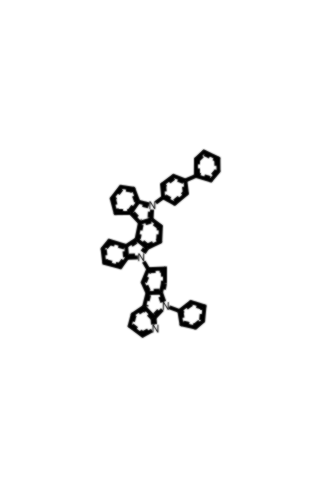 c1ccc(-c2ccc(-n3c4ccccc4c4c5c6ccccc6n(-c6ccc7c(c6)c6cccnc6n7-c6ccccc6)c5ccc43)cc2)cc1